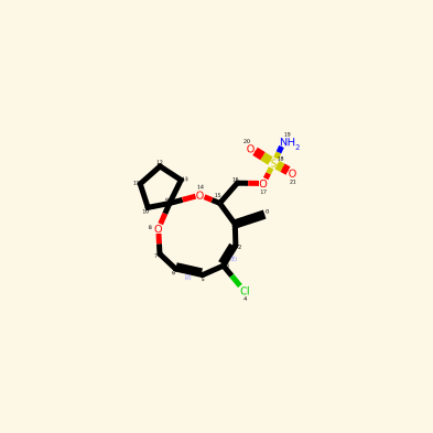 C=C1/C=C(Cl)\C=C/COC2(CCCC2)OC1COS(N)(=O)=O